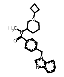 CN(C(=O)c1ccc(Cn2cnc3ccccc32)cc1)C1CCCN(C2CCC2)C1